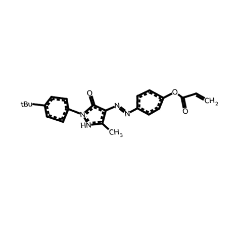 C=CC(=O)Oc1ccc(N=Nc2c(C)[nH]n(-c3ccc(C(C)(C)C)cc3)c2=O)cc1